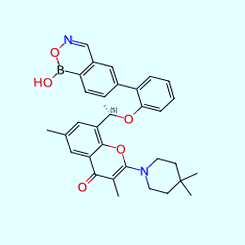 Cc1cc([C@H](C)Oc2ccccc2-c2ccc3c(c2)C=NOB3O)c2oc(N3CCC(C)(C)CC3)c(C)c(=O)c2c1